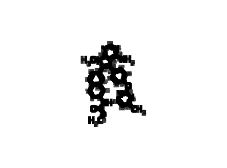 C=CC(=O)N[C@H]1CCc2ccc(-c3c(-c4ccc(Oc5nccc(C)n5)cc4)c4c(N)ncnc4n3C)cc2C1